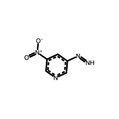 N=Nc1cncc([N+](=O)[O-])c1